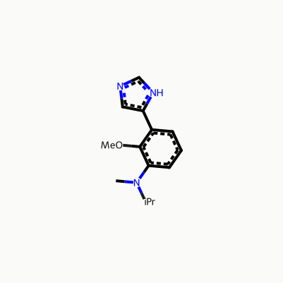 COc1c(-c2cnc[nH]2)cccc1N(C)C(C)C